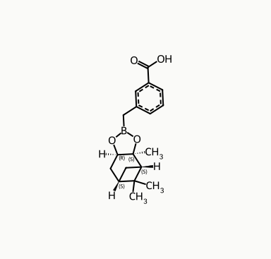 CC1(C)[C@@H]2C[C@H]3OB(Cc4cccc(C(=O)O)c4)O[C@@]3(C)[C@H]1C2